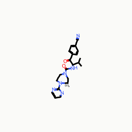 CC(C)C(NC(=O)N1CCN(c2ncccn2)[C@@H](C)C1)C(=O)c1ccc(C#N)cc1